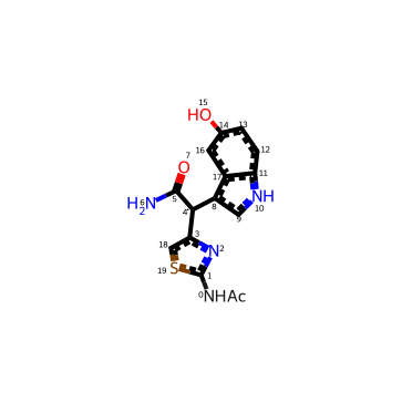 CC(=O)Nc1nc([C](C(N)=O)c2c[nH]c3ccc(O)cc23)cs1